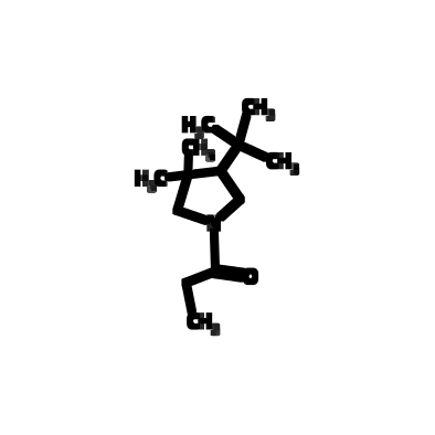 CCC(=O)N1CC(C(C)(C)C)C(C)(C)C1